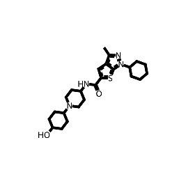 Cc1nn(C2CCCCC2)c2sc(C(=O)NC3CCN(C4CCC(O)CC4)CC3)cc12